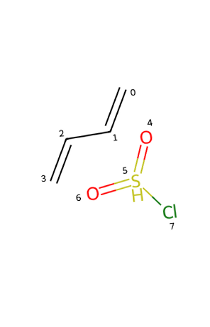 C=CC=C.O=[SH](=O)Cl